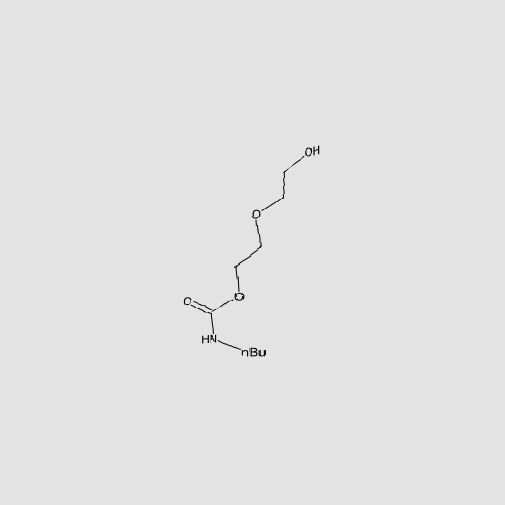 CCCCNC(=O)OCCOCCO